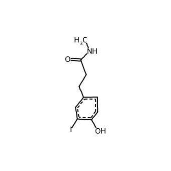 CNC(=O)CCc1ccc(O)c(I)c1